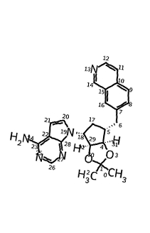 CC1(C)O[C@@H]2[C@@H](Cc3ccc4ccncc4c3)C[C@@H](n3ccc4c(N)ncnc43)[C@@H]2O1